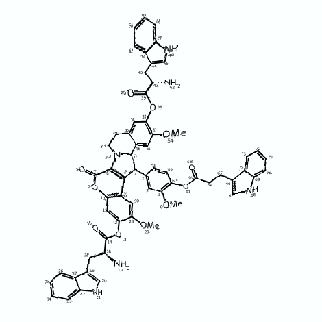 COc1cc(C2c3c(c(=O)oc4cc(OC(=O)[C@@H](N)Cc5c[nH]c6ccccc56)c(OC)cc34)N3CCc4cc(OC(=O)[C@@H](N)Cc5c[nH]c6ccccc56)c(OC)cc4C23)ccc1OC(=O)CCc1c[nH]c2ccccc12